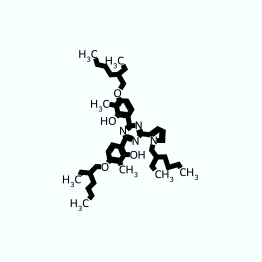 CCCCC(CC)COc1ccc(-c2nc(-c3ccc(OCC(CC)CCCC)c(C)c3O)nc(-c3cccn3CC(CC)CCCC)n2)c(O)c1C